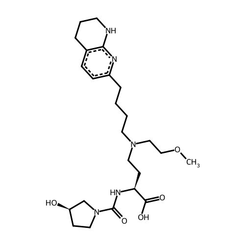 COCCN(CCCCc1ccc2c(n1)NCCC2)CC[C@H](NC(=O)N1CC[C@@H](O)C1)C(=O)O